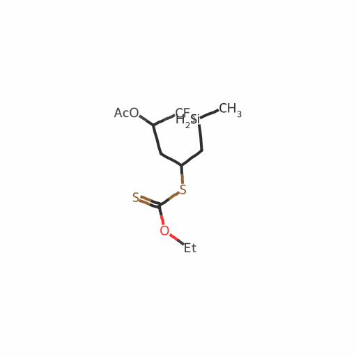 CCOC(=S)SC(C[SiH2]C)CC(OC(C)=O)C(F)(F)F